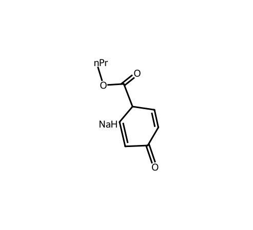 CCCOC(=O)C1C=CC(=O)C=C1.[NaH]